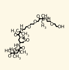 CC(C)(CC(C)(C)C(=O)NC(C=S(=O)=O)CCC(=O)C(C)(C)NCCOCCOCC(=O)C(C)(C)NCCOCCO)C(=O)O